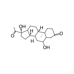 CC(=O)[C@@]1(O)CC[C@H]2[C@@H]3CC(O)C4CC(=O)CC[C@]4(C)[C@H]3CC[C@@]21C